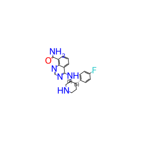 NC(=O)c1cccc2c(N[C@@H]3CNCC[C@H]3c3ccc(F)cc3)ncnc12